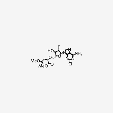 COC(=O)CC(OC[C@H]1O[C@@H](n2cnc3c(N)nc(Cl)nc32)[C@@H](F)[C@@H]1O)C(=O)OC